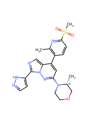 Cc1nc(S(C)(=O)=O)ccc1-c1cc(N2CCOC[C@H]2C)nn2c(-c3ccn[nH]3)ncc12